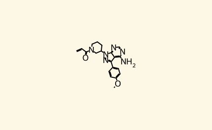 C=CC(=O)N1CCCC(n2nc(-c3ccc(OC)cc3)c3c(N)ncnc32)C1